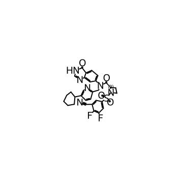 N#Cc1cc(S(=O)(=O)N2CC[C@@H]2C(=O)N(Cc2ccc(C3CCCCC3)cn2)c2ccc3c(=O)[nH]cnc3c2)cc(F)c1F